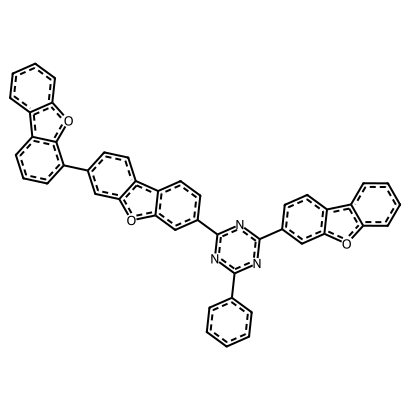 c1ccc(-c2nc(-c3ccc4c(c3)oc3ccccc34)nc(-c3ccc4c(c3)oc3cc(-c5cccc6c5oc5ccccc56)ccc34)n2)cc1